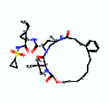 C=C[C@@H]1C[C@]1(NC(=O)[C@@H]1C[C@@H]2CN1C(=O)[C@H](C(C)(C)C)NC(=O)OCCCCCCCc1ccccc1CCC(=O)N2)C(=O)NS(=O)(=O)C1CC1